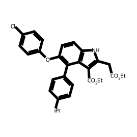 CCOC(=O)Cc1[nH]c2ccc(Oc3ccc(Cl)cc3)c(-c3ccc(C(C)C)cc3)c2c1C(=O)OCC